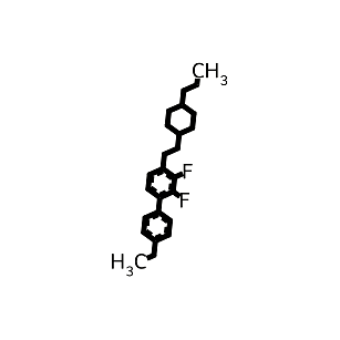 CCCC1CCC(CCc2ccc(-c3ccc(CC)cc3)c(F)c2F)CC1